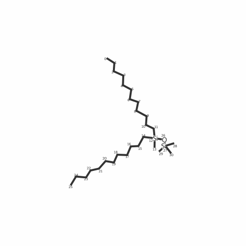 CCCCCCCCCCCC[Si](C)(CCCCCCCCCCCC)O[Si](C)(C)C